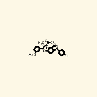 COc1cccc([C@@H](Oc2ccc3c(cnn3-c3ccc(Cl)cc3)c2)[C@H](C)NC(=O)C(F)(F)F)c1